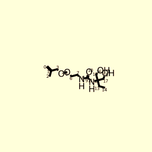 C=C(C)COOCCNC(=O)NC(CC)(CO)CO